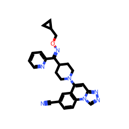 N#Cc1ccc2c(c1)c(N1CCC(/C(=N/OCC3CC3)c3ccccn3)CC1)cc1nncn12